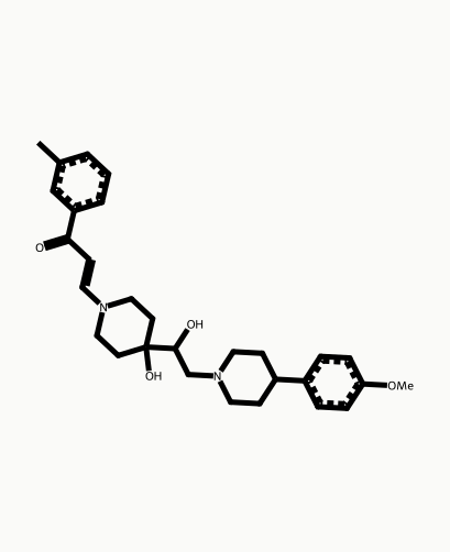 COc1ccc(C2CCN(CC(O)C3(O)CCN(C=CC(=O)c4cccc(C)c4)CC3)CC2)cc1